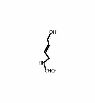 O=[C]NCC=CCO